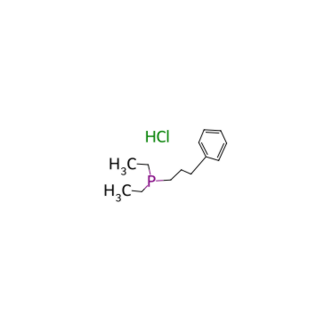 CCP(CC)CCCc1ccccc1.Cl